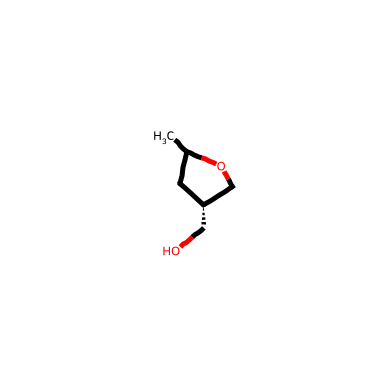 CC1C[C@@H](CO)CO1